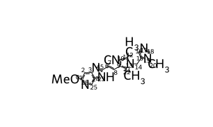 COc1cc2nc(/C(C#N)=C/c3cc(C)n(Cc4cncn4C)c3C)[nH]c2cn1